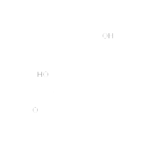 O=C[C@H](O)CCCO